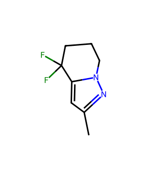 Cc1cc2n(n1)CCCC2(F)F